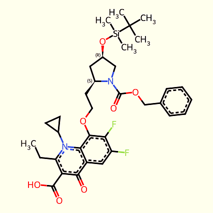 CCc1c(C(=O)O)c(=O)c2cc(F)c(F)c(OCC[C@H]3C[C@@H](O[Si](C)(C)C(C)(C)C)CN3C(=O)OCc3ccccc3)c2n1C1CC1